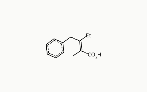 CCC(Cc1ccccc1)=C(C)C(=O)O